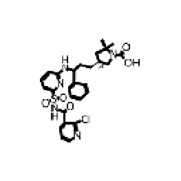 CC1(C)C[C@H](CCC(Nc2cccc(S(=O)(=O)NC(=O)c3cccnc3Cl)n2)c2ccccc2)CN1C(=O)O